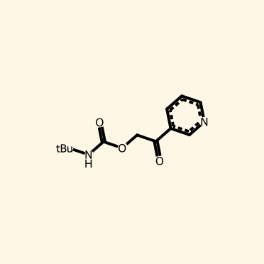 CC(C)(C)NC(=O)OCC(=O)c1cccnc1